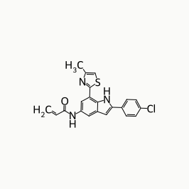 C=CC(=O)Nc1cc(-c2nc(C)cs2)c2[nH]c(-c3ccc(Cl)cc3)cc2c1